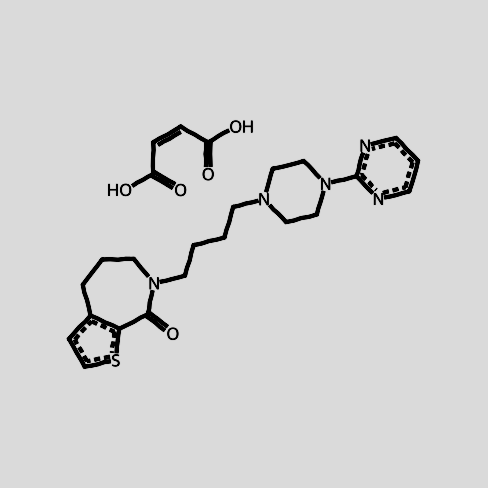 O=C(O)/C=C\C(=O)O.O=C1c2sccc2CCCN1CCCCN1CCN(c2ncccn2)CC1